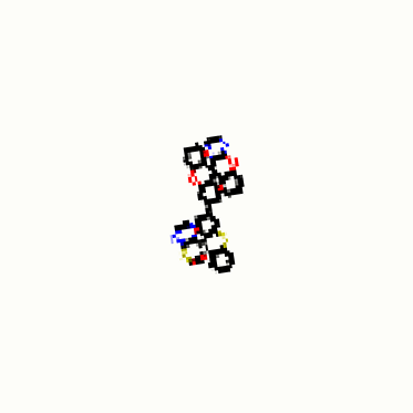 c1ccc2c(c1)Oc1cc(-c3ccc4c(c3)Sc3ccccc3[Si]43c4ccccc4Sc4nccnc43)ccc1C21c2ccccc2Oc2nccnc21